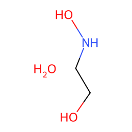 O.OCCNO